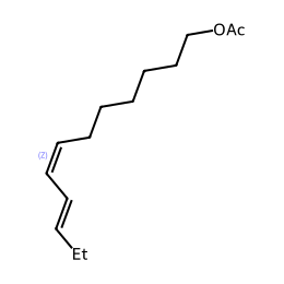 CCC=C/C=C\CCCCCCOC(C)=O